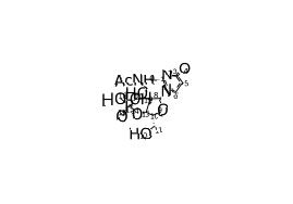 CC(=O)Nc1nc(=O)ccn1[C@@H]1O[C@H](CO)[C@@H](OP(=O)(O)O)[C@H]1O